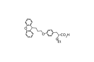 CCOC(Cc1ccc(OCCCC2c3ccccc3Oc3ccccc32)cc1)C(=O)O